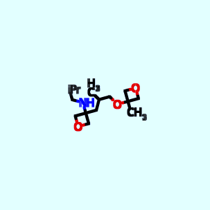 CC(C)CNC1(CC(C)COC2(C)COC2)COC1